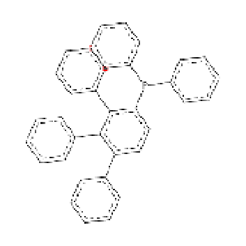 c1ccc(-c2ccc(P(c3ccccc3)c3ccccc3)c(-c3ccccc3)c2-c2ccccc2)cc1